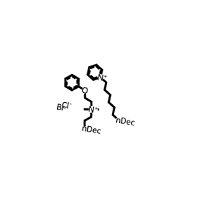 CCCCCCCCCCCCCCCC[n+]1ccccc1.CCCCCCCCCCCC[N+](C)(C)CCOc1ccccc1.[Br-].[Cl-]